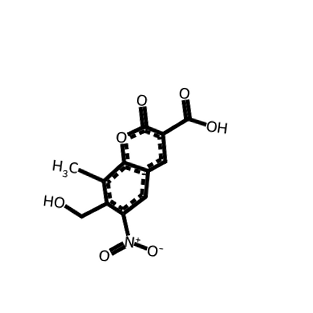 Cc1c(CO)c([N+](=O)[O-])cc2cc(C(=O)O)c(=O)oc12